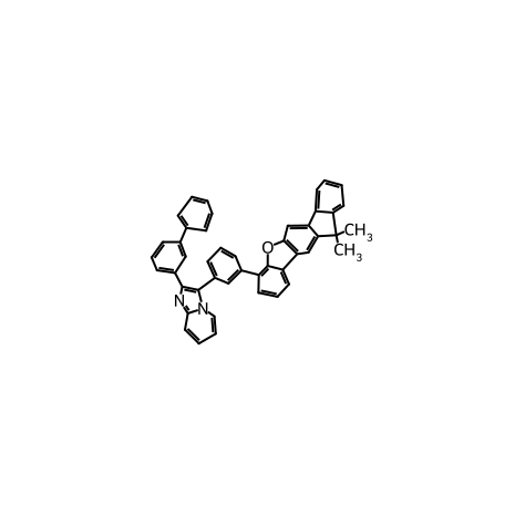 CC1(C)c2ccccc2-c2cc3oc4c(-c5cccc(-c6c(-c7cccc(-c8ccccc8)c7)nc7ccccn67)c5)cccc4c3cc21